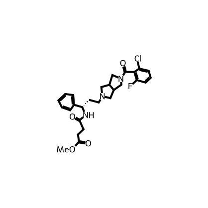 COC(=O)CCC(=O)N[C@@H](CCN1CC2CN(C(=O)c3c(F)cccc3Cl)CC2C1)c1ccccc1